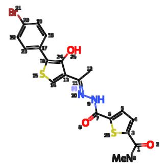 CNC(=O)c1ccc(C(=O)N/N=C(\C)c2csc(-c3ccc(Br)cc3)c2O)s1